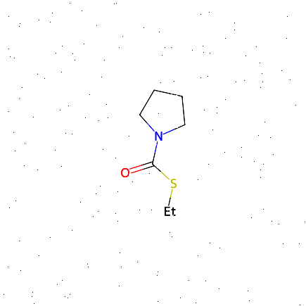 CCSC(=O)N1CCCC1